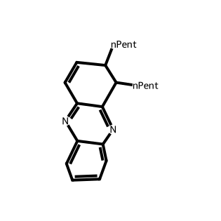 CCCCCC1C=Cc2nc3ccccc3nc2C1CCCCC